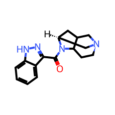 O=C(c1n[nH]c2ccccc12)N1C2CC[N@]3CC2C[C@H]1C3